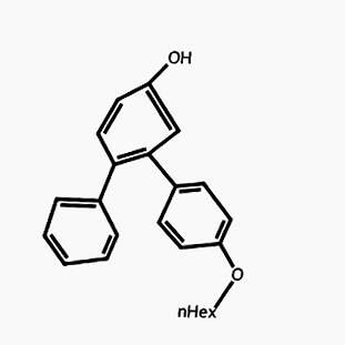 CCCCCCOc1ccc(-c2cc(O)ccc2-c2ccccc2)cc1